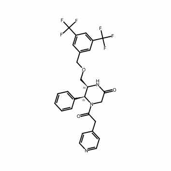 O=C1CN(C(=O)Cc2ccncc2)[C@@H](c2ccccc2)[C@@H](COCc2cc(C(F)(F)F)cc(C(F)(F)F)c2)N1